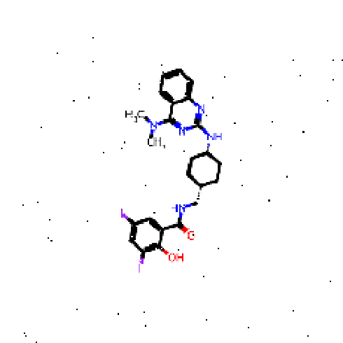 CN(C)c1nc(N[C@H]2CC[C@@H](CNC(=O)c3cc(I)cc(I)c3O)CC2)nc2ccccc12